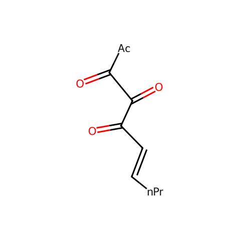 CCCC=CC(=O)C(=O)C(=O)C(C)=O